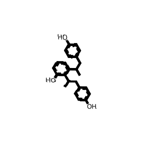 CC(Cc1ccc(O)cc1)c1cccc(O)c1C(C)Cc1ccc(O)cc1